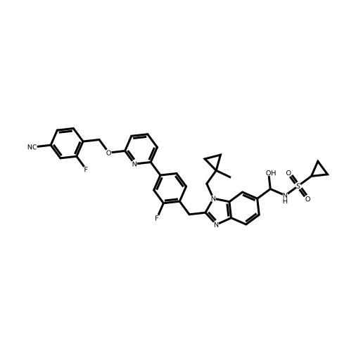 CC1(Cn2c(Cc3ccc(-c4cccc(OCc5ccc(C#N)cc5F)n4)cc3F)nc3ccc(C(O)NS(=O)(=O)C4CC4)cc32)CC1